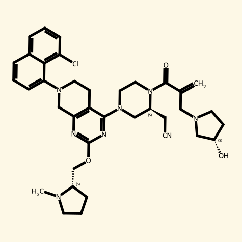 C=C(CN1CC[C@H](O)C1)C(=O)N1CCN(c2nc(OC[C@@H]3CCCN3C)nc3c2CCN(c2cccc4cccc(Cl)c24)C3)C[C@@H]1CC#N